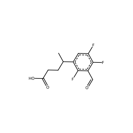 CC(CCC(=O)O)c1cc(F)c(F)c(C=O)c1F